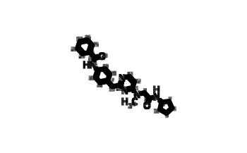 CN(CC(=O)NC1CCCC1)c1[c]cnc(Cc2ccc(NC(=O)c3ccccc3)cc2)n1